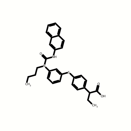 CCCCN(C(=O)Nc1ccc2ccccc2c1)c1cccc(Sc2ccc(C(CC)C(=O)O)cc2)c1